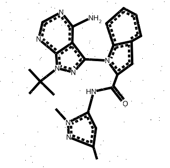 Cc1cc(NC(=O)c2cc3ccccc3n2-c2nn(C(C)(C)C)c3ncnc(N)c23)n(C)n1